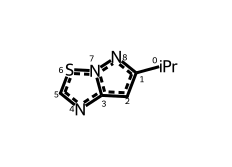 CC(C)c1cc2ncsn2n1